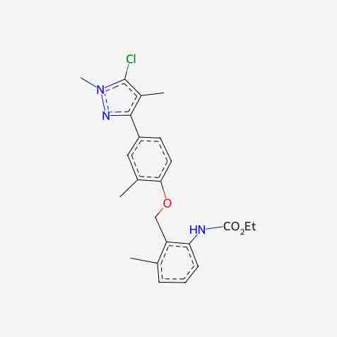 CCOC(=O)Nc1cccc(C)c1COc1ccc(-c2nn(C)c(Cl)c2C)cc1C